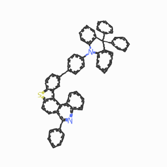 c1ccc(-c2nc3ccccc3c3c2ccc2sc4ccc(-c5ccc(N6c7ccccc7C(c7ccccc7)(c7ccccc7)c7ccccc76)cc5)cc4c23)cc1